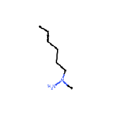 CCCCCCN(C)N